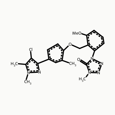 COc1cccc(-n2nnn(C)c2=O)c1COc1ccc(-c2nn(C)c(C)c2Cl)cc1C